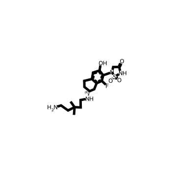 CC(C)(CCN)CCN[C@@H]1CCc2cc(O)c(N3CC(=O)NS3(=O)=O)c(F)c2C1